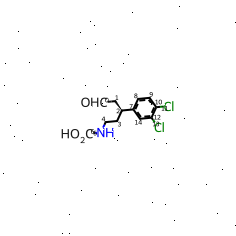 O=CC[C@H](CCNC(=O)O)c1ccc(Cl)c(Cl)c1